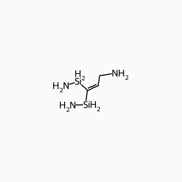 NCC=C([SiH2]N)[SiH2]N